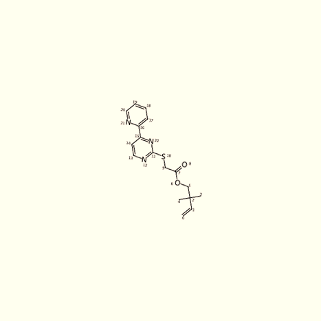 C=CC(C)(C)COC(=O)CSc1nccc(-c2ccccn2)n1